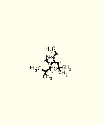 CCN1N=CN(CC(C)C)C1CC(C)(C)C